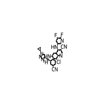 [2H][C@](Nc1cc(Cl)c2ncc(C#N)c(Nc3cnc(F)c(F)c3)c2c1)(c1cccc(C#N)c1)c1cn(C2CC2)nn1